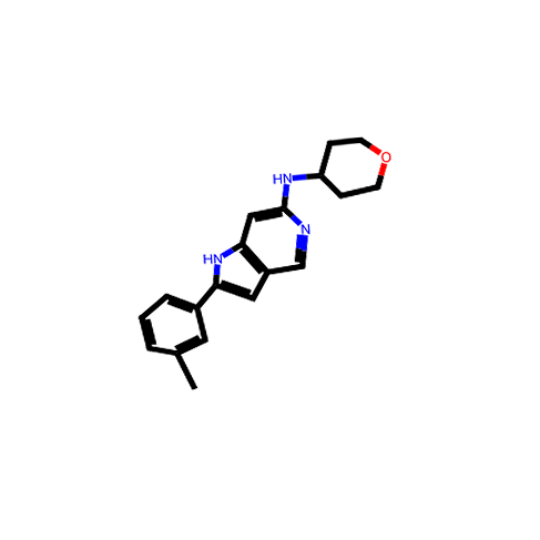 Cc1cccc(-c2cc3cnc(NC4CCOCC4)cc3[nH]2)c1